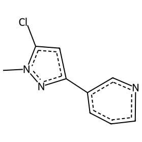 Cn1nc(-c2cccnc2)cc1Cl